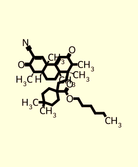 CCCCCCOC(=O)C1(CC[C@]2(C)C(C)C(=O)C=C3[C@@]4(C)C=C(C#N)C(=O)[C@@H](C)[C@@H]4CC[C@]32C)CCC(C)(C)CC1